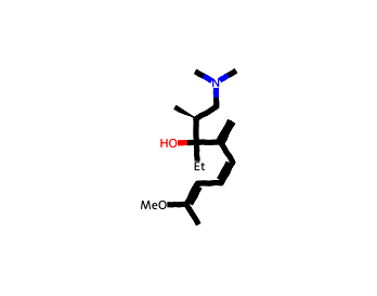 C=C(/C=C\C=C(/C)OC)C(O)(CC)[C@@H](C)CN(C)C